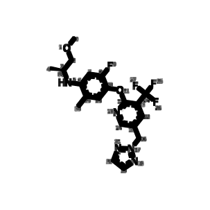 COC[C@H](C)Nc1cc(F)c(Oc2ncc(Cn3nccn3)cc2C(F)(F)F)cc1C